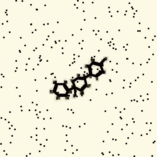 Cc1ccc(C2=CCC(C)(c3ccccc3)C=C2)cc1